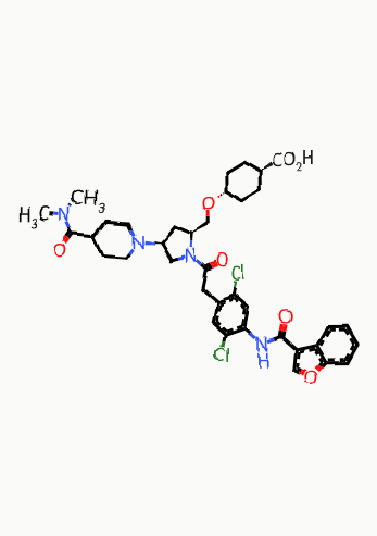 CN(C)C(=O)C1CCN([C@H]2C[C@@H](CO[C@H]3CC[C@H](C(=O)O)CC3)N(C(=O)Cc3cc(Cl)c(NC(=O)c4coc5ccccc45)cc3Cl)C2)CC1